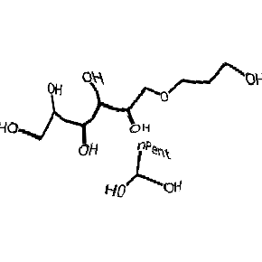 CCCCCC(O)O.OCCCOCC(O)C(O)C(O)C(O)CO